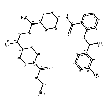 CC(Cc1ccccc1C(=O)N[C@H]1CC[C@H](C(C)CCC(C)C2CCN(C(=O)CCN)CC2)CC1)c1cccc(C(F)(F)F)c1